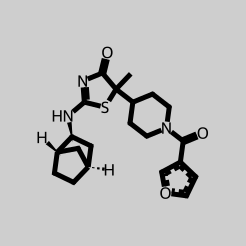 CC1(C2CCN(C(=O)c3ccoc3)CC2)SC(N[C@H]2C[C@H]3CC[C@H]2C3)=NC1=O